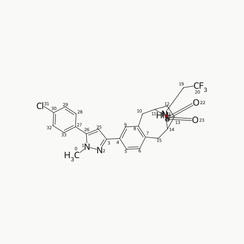 Cn1nc(-c2ccc3c(c2)CC2CCC(C3)C23CN(CC(F)(F)F)S(=O)(=O)N3)cc1-c1ccc(Cl)cc1